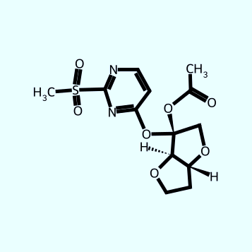 CC(=O)O[C@@]1(Oc2ccnc(S(C)(=O)=O)n2)CO[C@@H]2CCO[C@H]21